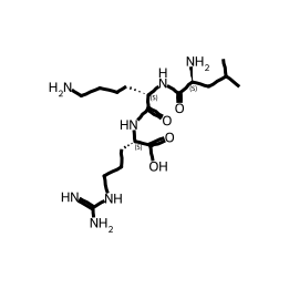 CC(C)C[C@H](N)C(=O)N[C@@H](CCCCN)C(=O)N[C@@H](CCCNC(=N)N)C(=O)O